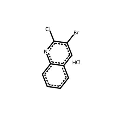 Cl.Clc1nc2ccccc2cc1Br